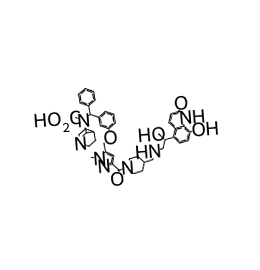 Cn1nc(C(=O)N2CCC(CNC[C@@H](O)c3ccc(O)c4[nH]c(=O)ccc34)CC2)cc1COc1cccc(C(c2ccccc2)N(C(=O)O)C2CN3CCC2CC3)c1